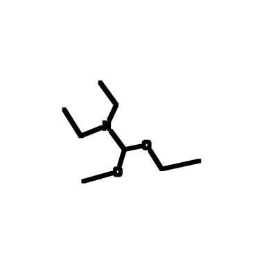 CCOC(OC)N(CC)CC